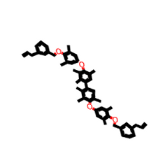 C=CCc1cccc(COc2c(C)cc(Oc3c(C)cc(-c4cc(C)c(Oc5cc(C)c(OCc6cccc(CC=C)c6)c(C)c5)c(C)c4C)c(C)c3C)cc2C)c1